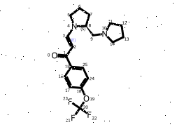 O=C(/C=C/N1CCC[C@H]1CN1CCCC1)c1ccc(OC(F)(F)F)cc1